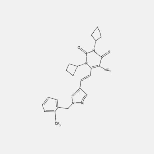 O=c1c([N+](=O)[O-])c(/C=C/c2cnn(Cc3ccccc3C(F)(F)F)c2)n(C2CCC2)c(=O)n1C1CCC1